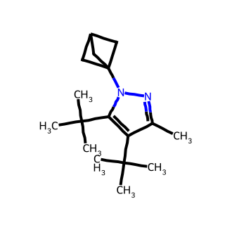 Cc1nn(C23CC(C2)C3)c(C(C)(C)C)c1C(C)(C)C